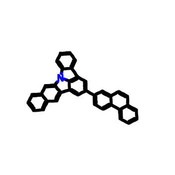 c1ccc2cc3c(cc2c1)c1cc(-c2ccc4c(ccc5ccccc54)c2)cc2c4ccccc4n3c21